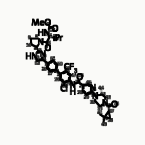 COC(=O)N[C@H](C(=O)N1CCC[C@H]1c1nc(-c2ccc(-c3cc(Cl)c(NC(=O)c4ccc(N5CCN(C(=O)[C@H]6CC6(C)C)C[C@H]5C)nc4)cc3C(F)(F)F)cc2)c[nH]1)C(C)C